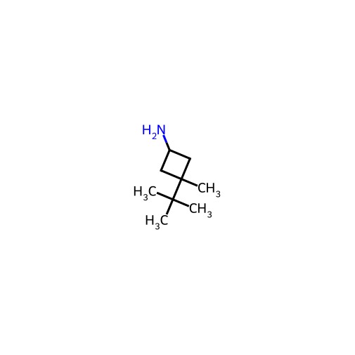 CC(C)(C)C1(C)CC(N)C1